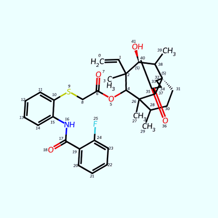 C=CC1(C)C(OC(=O)CSc2ccccc2NC(=O)c2ccccc2F)C2(C)C(C)CC[C@]3(CCC(=O)C23)C(C)[C@@H]1O